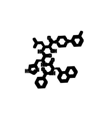 Cc1cccc(N2CCN(C(=O)[C@@H](O)[C@H](CC(C)C)NC(=O)[C@H](Cc3c[nH]cn3)NC(=O)[C@H](Cc3cccc4ccccc34)NC(=O)c3ccccc3)CC2)c1